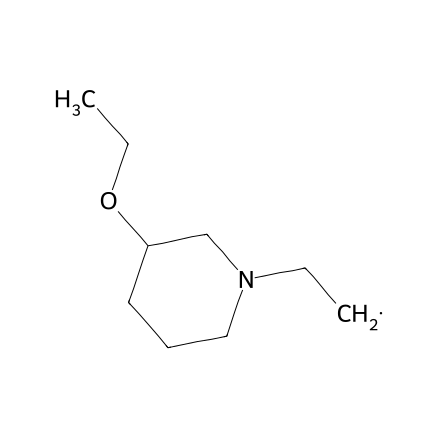 [CH2]CN1CCCC(OCC)C1